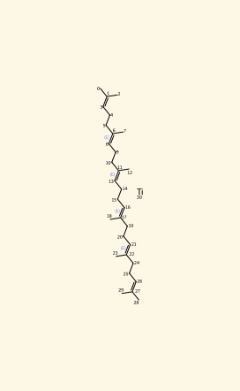 CC(C)=CCC/C(C)=C/CC/C(C)=C/CC/C=C(\C)CC/C=C(\C)CCC=C(C)C.[Ti]